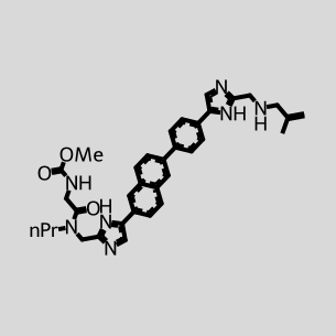 C=C(C)CNCc1ncc(-c2ccc(-c3ccc4cc(-c5cnc(CN(CCC)C(=O)CNC(=O)OC)[nH]5)ccc4c3)cc2)[nH]1